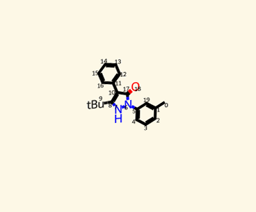 Cc1cccc(-n2[nH]c(C(C)(C)C)c(-c3ccccc3)c2=O)c1